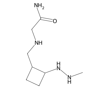 CNNC1CCC1CNCC(N)=O